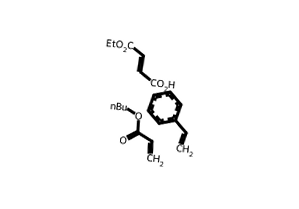 C=CC(=O)OCCCC.C=Cc1ccccc1.CCOC(=O)C=CC(=O)O